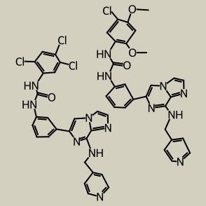 COc1cc(OC)c(NC(=O)Nc2cccc(-c3cn4ccnc4c(NCc4ccncc4)n3)c2)cc1Cl.O=C(Nc1cccc(-c2cn3ccnc3c(NCc3ccncc3)n2)c1)Nc1cc(Cl)c(Cl)cc1Cl